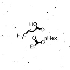 CCCC(=O)O.CCCCCCOC(=O)CC